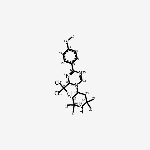 CSc1ccc(C2=NC(C(Cl)(Cl)Cl)N(C3CC(C)(C)NC(C)(C)C3)C=N2)cc1